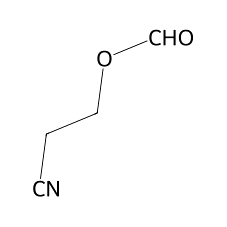 N#CCCOC=O